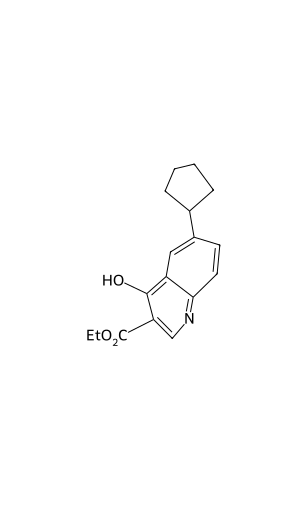 CCOC(=O)c1cnc2ccc(C3CCCC3)cc2c1O